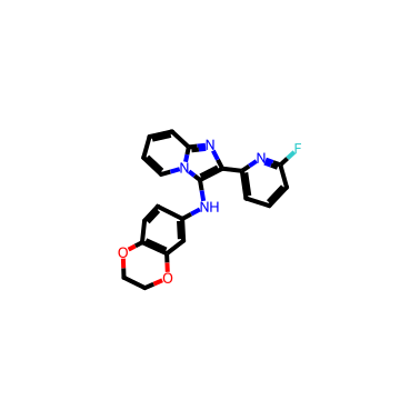 Fc1cccc(-c2nc3ccccn3c2Nc2ccc3c(c2)OCCO3)n1